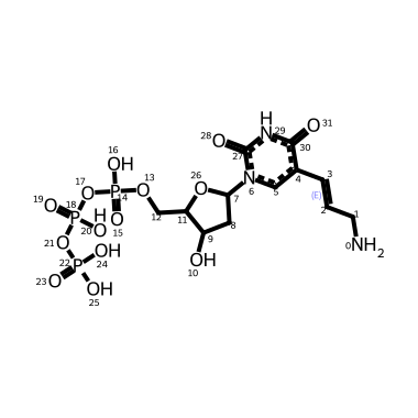 NC/C=C/c1cn(C2CC(O)C(COP(=O)(O)OP(=O)(O)OP(=O)(O)O)O2)c(=O)[nH]c1=O